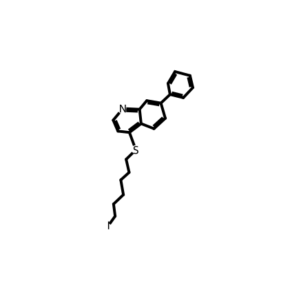 ICCCCCCSc1ccnc2cc(-c3ccccc3)ccc12